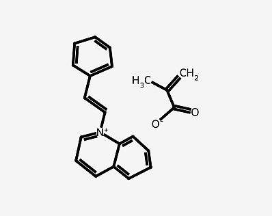 C(=C\[n+]1cccc2ccccc21)/c1ccccc1.C=C(C)C(=O)[O-]